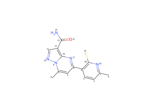 Cc1ccc(-c2cc(C)n3ncc(C(N)=O)c3n2)c(F)n1